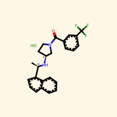 C[C@@H](N[C@H]1CCN(C(=O)c2cccc(C(F)(F)F)c2)C1)c1cccc2ccccc12.Cl